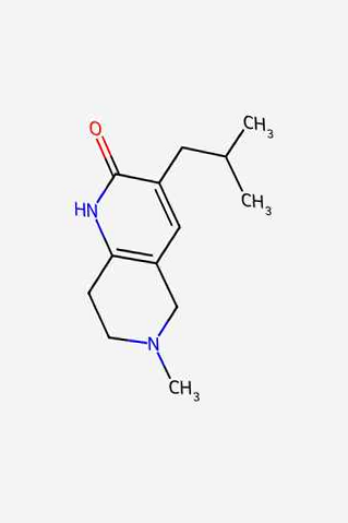 CC(C)Cc1cc2c([nH]c1=O)CCN(C)C2